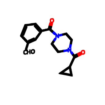 O=Cc1cccc(C(=O)N2CCN(C(=O)C3CC3)CC2)c1